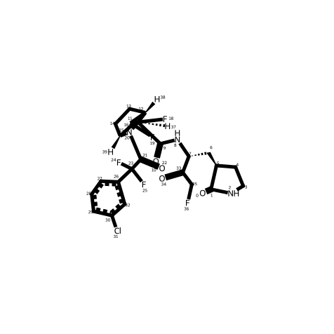 O=C1NCC[C@@H]1C[C@@H](NC(=O)[C@@H]1[C@H]2CC[C@H](CC2(F)F)N1C(=O)C(F)(F)c1cccc(Cl)c1)C(=O)CF